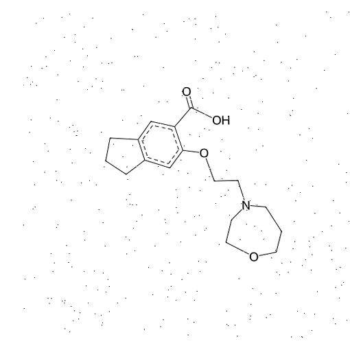 O=C(O)c1cc2c(cc1OCCN1CCCOCC1)CCC2